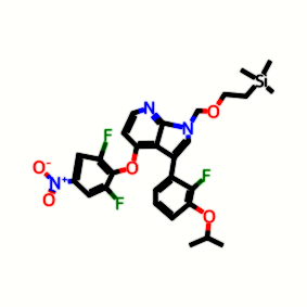 CC(C)Oc1cccc(-c2cn(COCC[Si](C)(C)C)c3nccc(Oc4c(F)cc([N+](=O)[O-])cc4F)c23)c1F